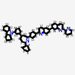 C1=CC(c2ccccc2)=NC(c2ccc(-c3ccc4cc(-c5ccc6ccc(-c7ccccn7)nc6c5)ccc4n3)cc2)=CC=1c1cccc(-n2c3ccccc3c3ccccc32)c1